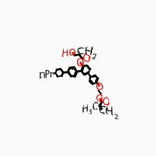 C=C(C)C(=O)OCCOc1ccc(-c2ccc(OC(=O)C(=C)CO)c(-c3ccc(C4CCC(CCC)CC4)cc3)c2)cc1